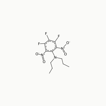 CCCN(CCC)c1c([N+](=O)[O-])c(F)c(F)c(F)c1[N+](=O)[O-]